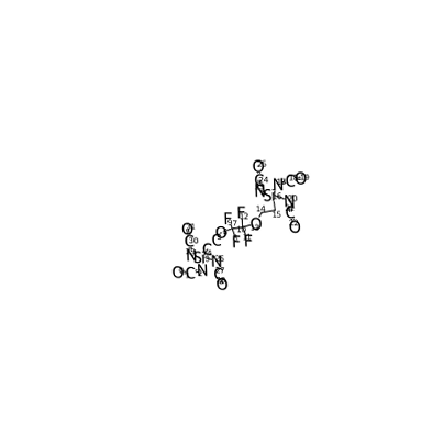 O=C=N[Si](CCOC(F)(F)C(F)(F)OCC[Si](N=C=O)(N=C=O)N=C=O)(N=C=O)N=C=O